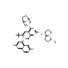 O=c1c2nc(OC[C@]34CCCN3[C@@H](CO)CC4)nc(N3C[C@H]4CC[C@@H](C3)N4)c2cc(C(F)(F)F)n1-c1cc(O)cc2ccc(F)c(F)c12